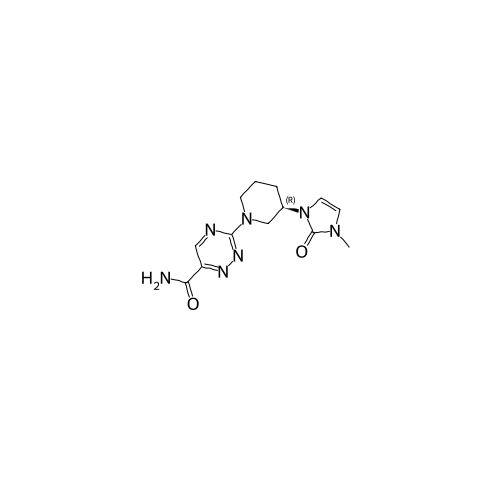 Cn1ccn([C@@H]2CCCN(c3ncc(C(N)=O)nn3)C2)c1=O